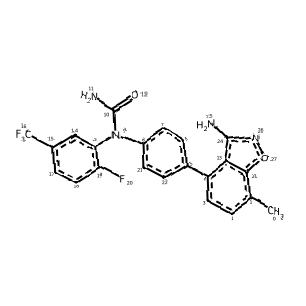 Cc1ccc(-c2ccc(N(C(N)=O)c3cc(C(F)(F)F)ccc3F)cc2)c2c(N)noc12